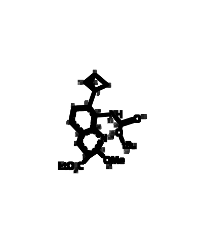 CCOC(=O)c1cc2ccc(C34CC(C3)C4)c(NC(=O)OC(C)(C)C)c2nc1OC